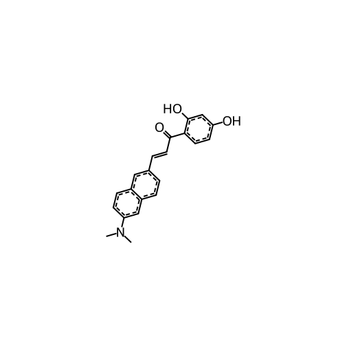 CN(C)c1ccc2cc(/C=C/C(=O)c3ccc(O)cc3O)ccc2c1